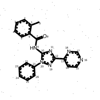 Cc1ccccc1C(=O)Nc1nc(-c2ccncn2)nn1-c1ccccc1